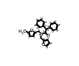 Cc1ccc(CN(Cc2ccco2)C(=O)C(c2ccccc2)c2ccccc2)o1